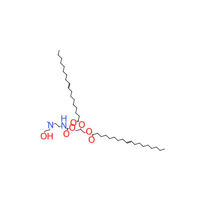 CCCCCCCCC=CCCCCCCCC(=O)OCC(COC(=O)NCCN(C)CCO)OC(=O)CCCCCCCC=CCCCCCCCC